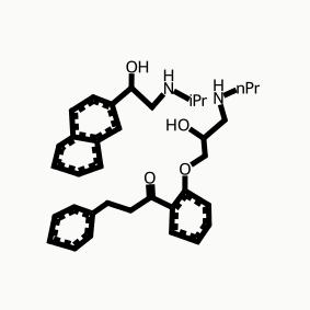 CC(C)NCC(O)c1ccc2ccccc2c1.CCCNCC(O)COc1ccccc1C(=O)CCc1ccccc1